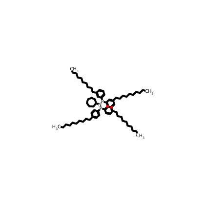 CCCCCCCCCCc1ccc(P(c2ccc(CCCCCCCCCC)cc2)N(C2CCCCCC2)P(c2cccc(CCCCCCCCCC)c2)c2cccc(CCCCCCCCCC)c2)cc1